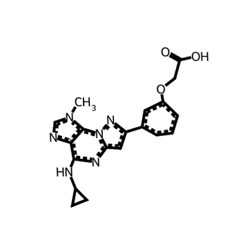 Cn1cnc2c(NC3CC3)nc3cc(-c4cccc(OCC(=O)O)c4)nn3c21